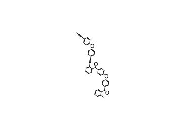 CC#Cc1ccc(Oc2ccc(C#Cc3ccccc3C(=O)c3ccc(Oc4ccc(C(=O)c5ccccc5C)cc4)cc3)cc2)cc1